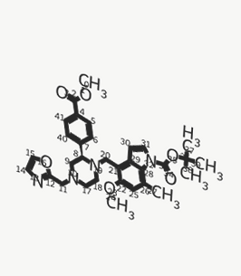 COC(=O)c1ccc([C@@H]2CN(Cc3ncco3)CCN2Cc2c(OC)cc(C)c3c2ccn3C(=O)OC(C)(C)C)cc1